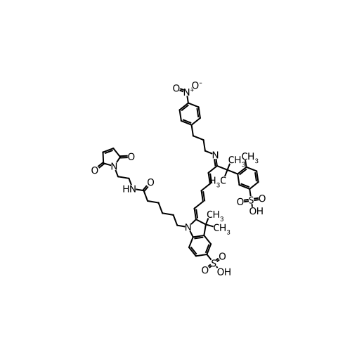 Cc1ccc(S(=O)(=O)O)cc1C(C)(C)C(/C=C/C=C/C=C1/N(CCCCCC(=O)NCCN2C(=O)C=CC2=O)c2ccc(S(=O)(=O)O)cc2C1(C)C)=N/CCCc1ccc([N+](=O)[O-])cc1